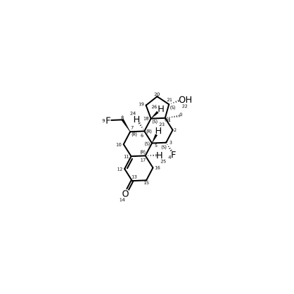 C[C@]12C[C@H](F)[C@H]3[C@@H]([C@H](CF)CC4=CC(=O)CC[C@@H]43)[C@@H]1CC[C@@H]2O